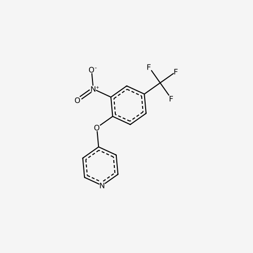 O=[N+]([O-])c1cc(C(F)(F)F)ccc1Oc1ccncc1